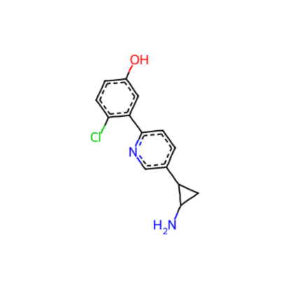 NC1CC1c1ccc(-c2cc(O)ccc2Cl)nc1